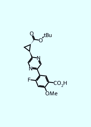 COc1cc(F)c(-c2cnc([C@H]3C[C@@H]3C(=O)OC(C)(C)C)cn2)cc1C(=O)O